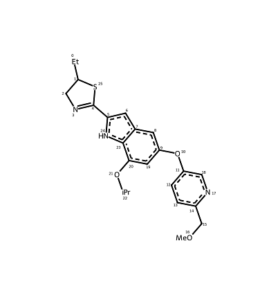 CCC1CN=C(c2cc3cc(Oc4ccc(COC)nc4)cc(OC(C)C)c3[nH]2)S1